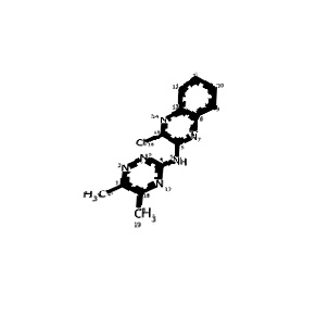 Cc1nnc(Nc2nc3ccccc3nc2Cl)nc1C